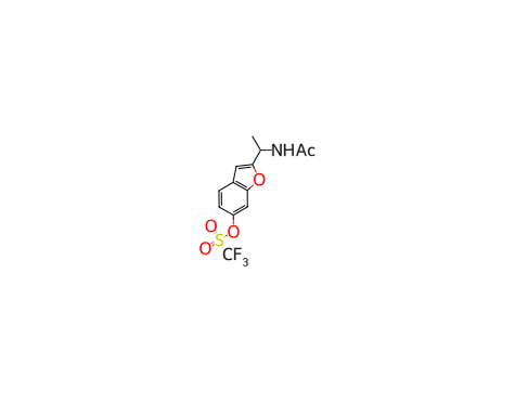 CC(=O)NC(C)c1cc2ccc(OS(=O)(=O)C(F)(F)F)cc2o1